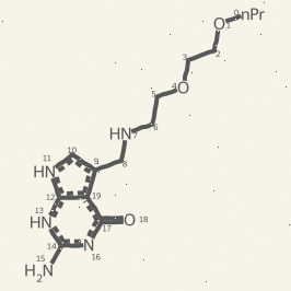 CCCOCCOCCNCc1c[nH]c2[nH]c(N)nc(=O)c12